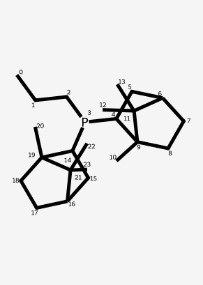 CCCP(C1CC2CCC1(C)C2(C)C)C1CC2CCC1(C)C2(C)C